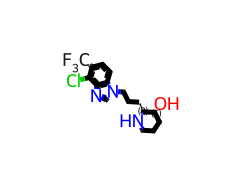 O[C@H]1CCCN[C@@H]1CCCn1cnc2c(Cl)c(C(F)(F)F)ccc21